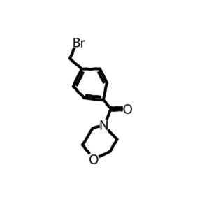 O=C(c1ccc(CBr)cc1)N1CCOCC1